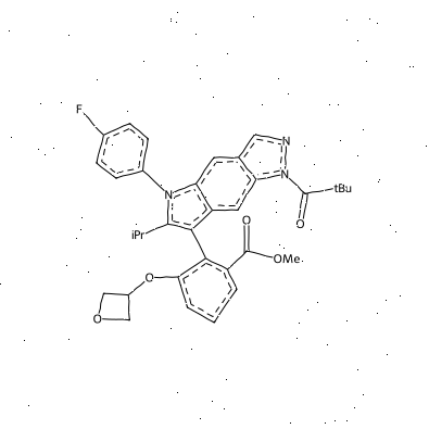 COC(=O)c1cccc(OC2COC2)c1-c1c(C(C)C)n(-c2ccc(F)cc2)c2cc3cnn(C(=O)C(C)(C)C)c3cc12